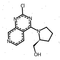 OC[C@@H]1CCCN1c1nc(Cl)nc2cnccc12